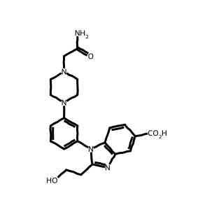 NC(=O)CN1CCN(c2cccc(-n3c(CCO)nc4cc(C(=O)O)ccc43)c2)CC1